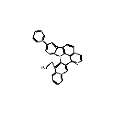 CC(C)(C)Cc1c2ccccc2cc2c3nccc4ccc5c6cc(-c7ccccc7)ccc6n(c12)c5c43